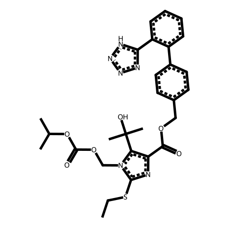 CCSc1nc(C(=O)OCc2ccc(-c3ccccc3-c3nnn[nH]3)cc2)c(C(C)(C)O)n1COC(=O)OC(C)C